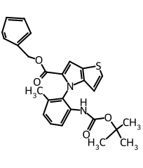 Cc1cccc(NC(=O)OC(C)(C)C)c1-n1c(C(=O)OCc2ccccc2)cc2sccc21